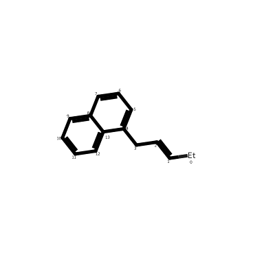 CCC=CCc1cccc2ccccc12